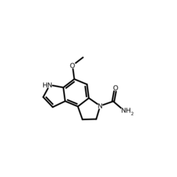 COc1cc2c(c3cc[nH]c13)CCN2C(N)=O